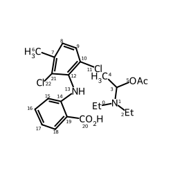 CCN(CC)C(C)OC(C)=O.Cc1ccc(Cl)c(Nc2ccccc2C(=O)O)c1Cl